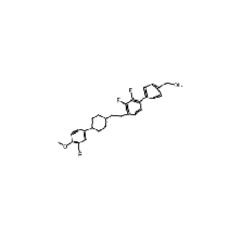 COc1ccc(C2CCC(CCc3ccc(-c4ccc(CO)cc4)c(F)c3F)CC2)cc1F